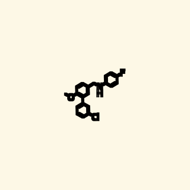 COc1ccc(CNc2ccc(F)cc2)cc1-c1cccc(Cl)c1